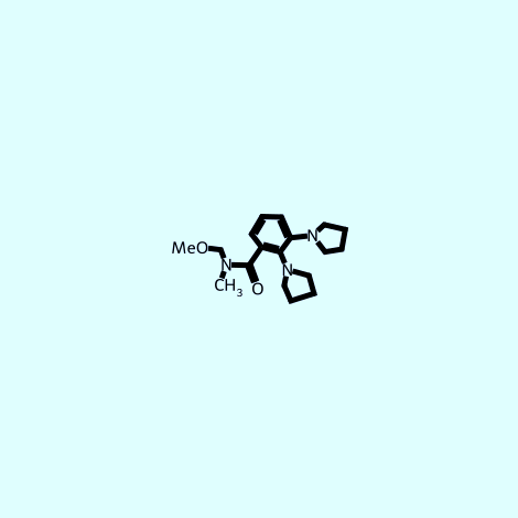 COCN(C)C(=O)c1cccc(N2CCCC2)c1N1CCCC1